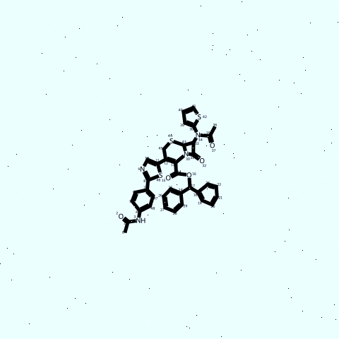 CC(=O)Nc1ccc(-c2ncc(C3=C(C(=O)OC(c4ccccc4)c4ccccc4)N4C(=O)C(N(C(C)=O)c5cccs5)C4SC3)s2)cc1